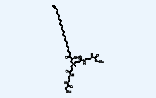 C#CCCCCCCCCCCCCCCCCCC(=O)C(N)C[N+](C)(CCC(=O)NCCNC(=O)OC(C)(C)C)CCC(=O)NCCNC(=O)OC(C)(C)C